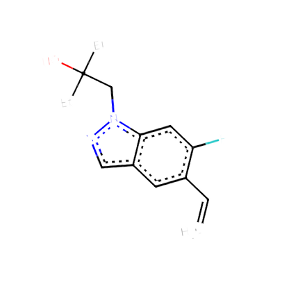 C=Cc1cc2cnn(CC(O)(CC)CC)c2cc1F